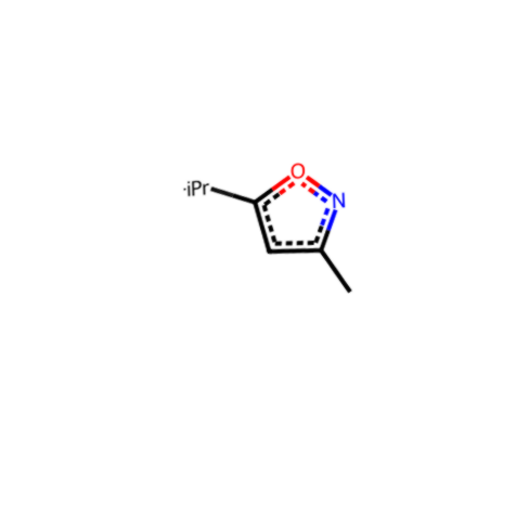 C[C](C)c1cc(C)no1